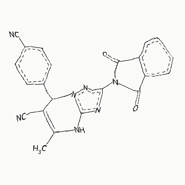 CC1=C(C#N)C(c2ccc(C#N)cc2)n2nc(N3C(=O)c4ccccc4C3=O)nc2N1